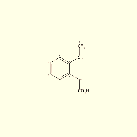 O=C(O)Cc1ccccc1SC(F)(F)F